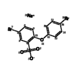 O=S(=O)([O-])c1cc(Br)ccc1Oc1ccc(Br)cc1.[Na+]